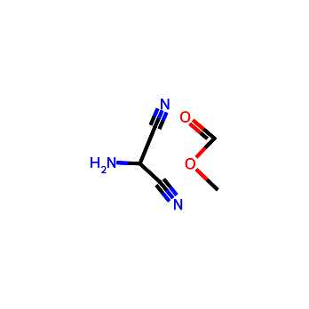 COC=O.N#CC(N)C#N